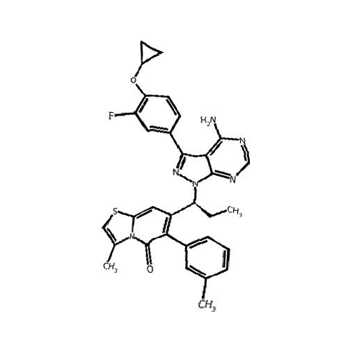 CC[C@@H](c1cc2scc(C)n2c(=O)c1-c1cccc(C)c1)n1nc(-c2ccc(OC3CC3)c(F)c2)c2c(N)ncnc21